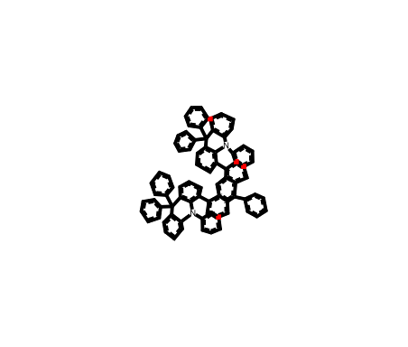 c1ccc(-c2c3cccc(-c4cccc5c4N(c4ccccc4)c4ccccc4C5(c4ccccc4)c4ccccc4)c3cc3c(-c4cccc5c4N(c4ccccc4)c4ccccc4C5(c4ccccc4)c4ccccc4)cccc23)cc1